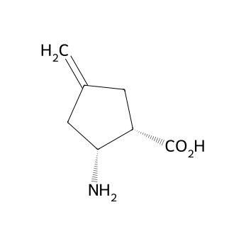 C=C1C[C@@H](N)[C@@H](C(=O)O)C1